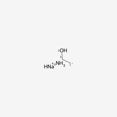 N.[CH2]CO.[NaH]